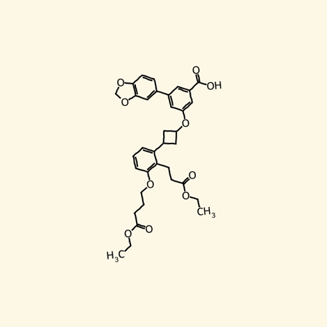 CCOC(=O)CCCOc1cccc(C2CC(Oc3cc(C(=O)O)cc(-c4ccc5c(c4)OCO5)c3)C2)c1CCC(=O)OCC